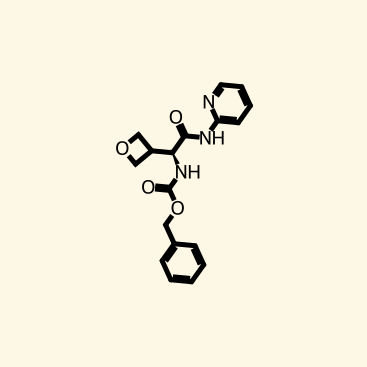 O=C(N[C@H](C(=O)Nc1ccccn1)C1COC1)OCc1ccccc1